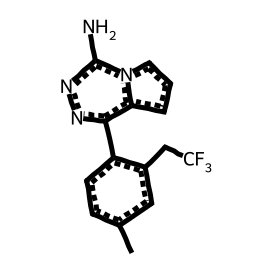 Cc1ccc(-c2nnc(N)n3cccc23)c(CC(F)(F)F)c1